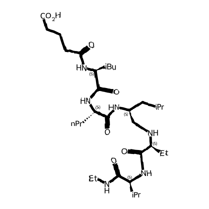 CCC[C@H](NC(=O)[C@@H](NC(=O)CCCC(=O)O)C(C)CC)C(=O)N[C@H](CN[C@@H](CC)C(=O)N[C@H](C(=O)NCC)C(C)C)CC(C)C